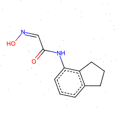 O=C(/C=N\O)Nc1cccc2c1CCC2